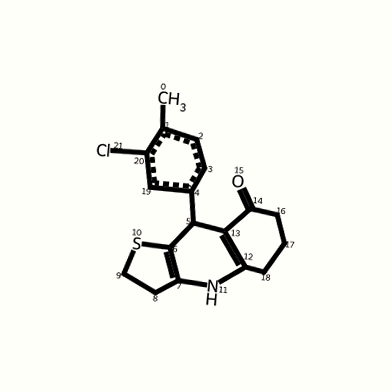 Cc1ccc(C2C3=C(CCS3)NC3=C2C(=O)CCC3)cc1Cl